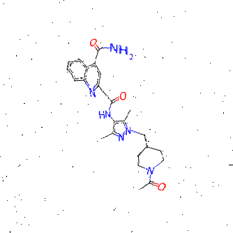 CC(=O)N1CCC(Cn2nc(C)c(NC(=O)c3cc(C(N)=O)c4ccccc4n3)c2C)CC1